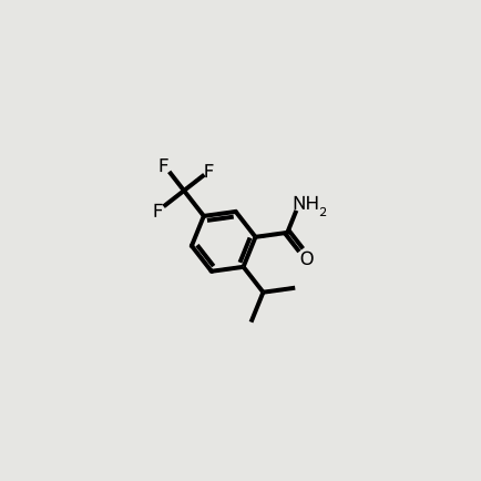 CC(C)c1ccc(C(F)(F)F)cc1C(N)=O